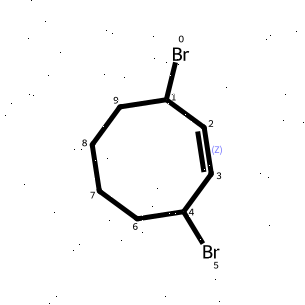 BrC1/C=C\C(Br)CCCC1